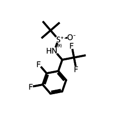 CC(F)(F)C(N[S@@+]([O-])C(C)(C)C)c1cccc(F)c1F